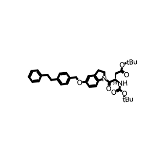 CC(C)(C)OC(=O)C[C@@H](NC(=O)OC(C)(C)C)C(=O)N1CCc2cc(OCc3ccc(CCc4ccccc4)cc3)ccc21